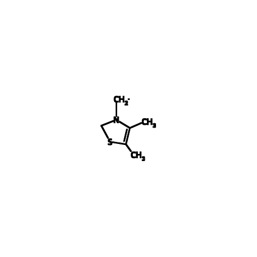 [CH2]N1CSC(C)=C1C